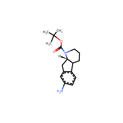 CC(C)(C)OC(=O)N1CCCC2c3ccc(N)cc3C[C@@H]21